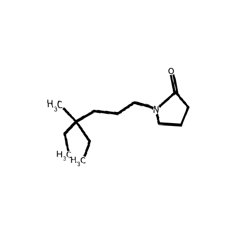 CCC(C)(CC)CCCN1CCCC1=O